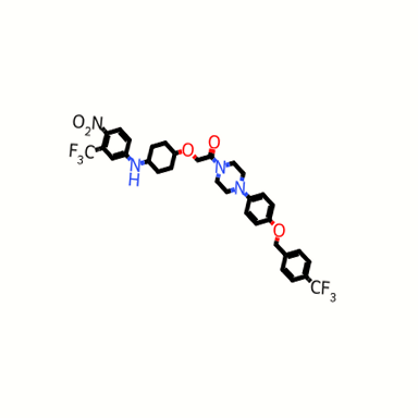 O=C(COC1CCC(Nc2ccc([N+](=O)[O-])c(C(F)(F)F)c2)CC1)N1CCN(c2ccc(OCc3ccc(C(F)(F)F)cc3)cc2)CC1